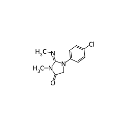 C/N=C1\N(C)C(=O)CN1c1ccc(Cl)cc1